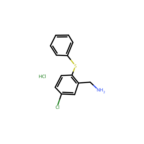 Cl.NCc1cc(Cl)ccc1Sc1ccccc1